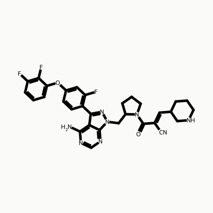 N#CC(=CC1CCCNC1)C(=O)N1CCCC1Cn1nc(-c2ccc(Oc3cccc(F)c3F)cc2F)c2c(N)ncnc21